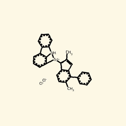 CC1=Cc2c(ccc(C)c2-c2ccccc2)[CH]1[Zr+2]1[c]2cccc3c2[SiH]1c1ccccc1-3.[Cl-].[Cl-]